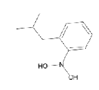 CC(C)Cc1ccccc1N(O)O